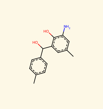 Cc1ccc(C(O)c2cc(C)cc(N)c2O)cc1